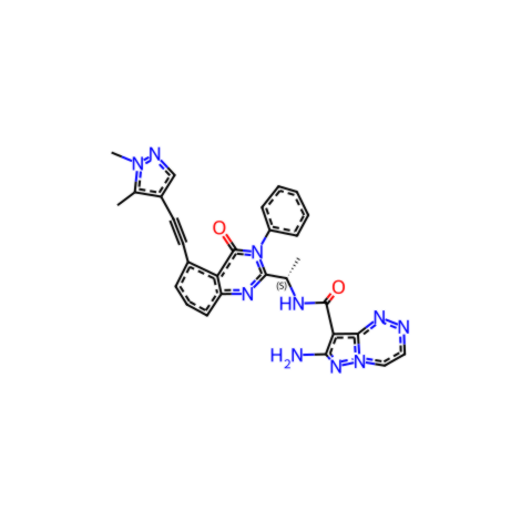 Cc1c(C#Cc2cccc3nc([C@H](C)NC(=O)c4c(N)nn5ccnnc45)n(-c4ccccc4)c(=O)c23)cnn1C